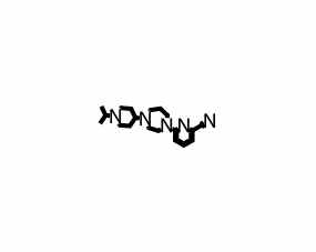 CC(C)N1CCC(N2CCCN(c3cccc(C#N)n3)CC2)CC1